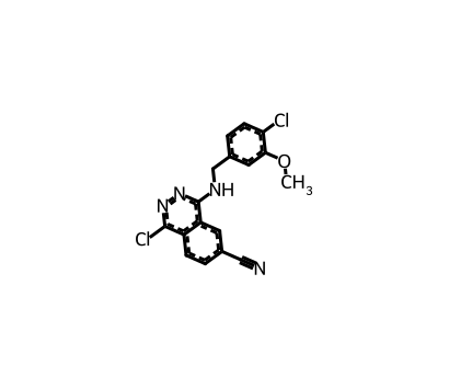 COc1cc(CNc2nnc(Cl)c3ccc(C#N)cc23)ccc1Cl